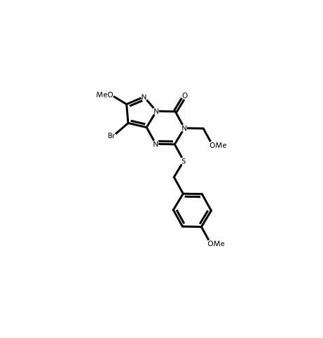 COCn1c(SCc2ccc(OC)cc2)nc2c(Br)c(OC)nn2c1=O